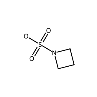 [O]S(=O)(=O)N1CCC1